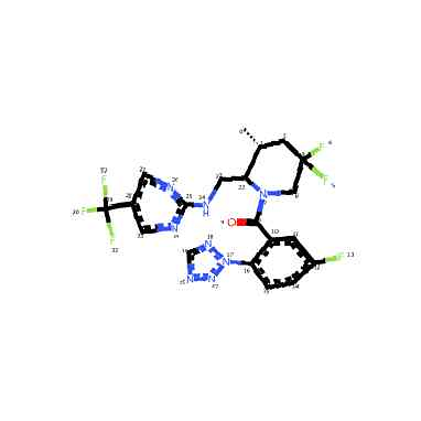 C[C@@H]1CC(F)(F)CN(C(=O)c2cc(F)ccc2-n2ncnn2)C1CNc1ncc(C(F)(F)F)cn1